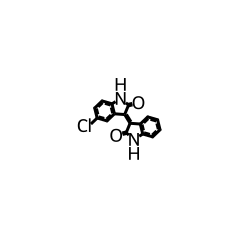 O=C1Nc2ccccc2C1=C1C(=O)Nc2ccc(Cl)cc21